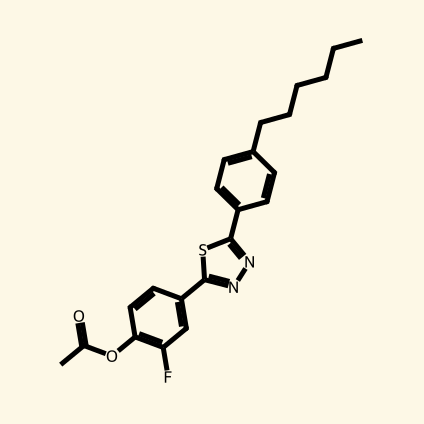 CCCCCCc1ccc(-c2nnc(-c3ccc(OC(C)=O)c(F)c3)s2)cc1